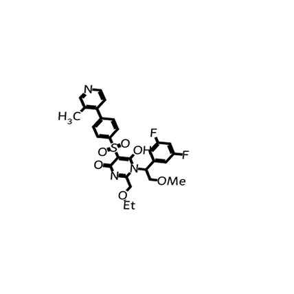 CCOCc1nc(=O)c(S(=O)(=O)c2ccc(-c3ccncc3C)cc2)c(O)n1C(COC)c1cc(F)cc(F)c1